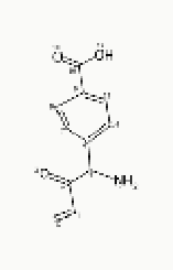 C=CC(=O)C(N)c1ccc(C(=O)O)cc1